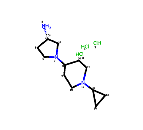 Cl.Cl.Cl.N[C@H]1CCN(C2CCN(C3CC3)CC2)C1